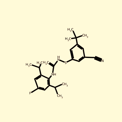 C=C(NSc1cc(C#N)cc(C(C)(C)C)c1)Nc1c(C(C)C)cc(F)cc1C(C)C